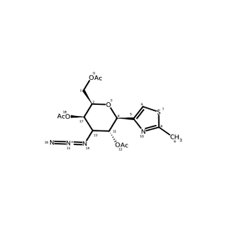 CC(=O)OC[C@H]1O[C@@H](c2csc(C)n2)[C@H](OC(C)=O)C(N=[N+]=[N-])[C@H]1OC(C)=O